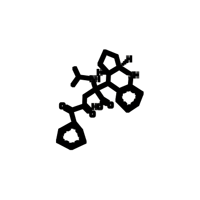 CC(C)NC(CC(=O)C(=O)c1ccccc1)(C(=O)O)C1c2ccccc2N[C@@H]2CCC[C@H]12